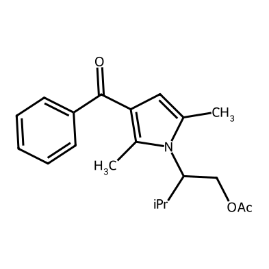 CC(=O)OCC(C(C)C)n1c(C)cc(C(=O)c2ccccc2)c1C